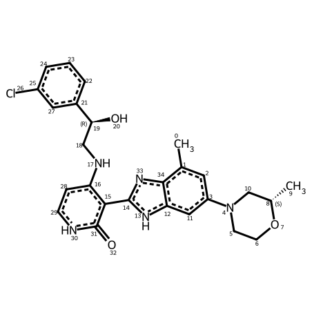 Cc1cc(N2CCO[C@@H](C)C2)cc2[nH]c(-c3c(NC[C@H](O)c4cccc(Cl)c4)cc[nH]c3=O)nc12